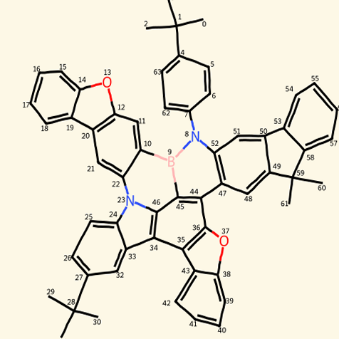 CC(C)(C)c1ccc(N2B3c4cc5oc6ccccc6c5cc4-n4c5ccc(C(C)(C)C)cc5c5c6c(oc7ccccc76)c(c3c54)-c3cc4c(cc32)-c2ccccc2C4(C)C)cc1